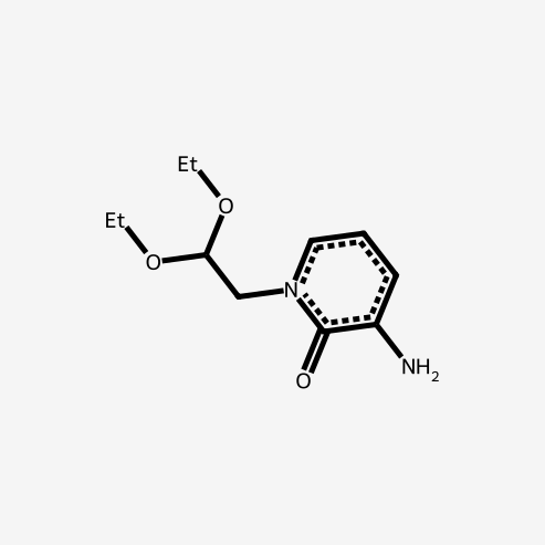 CCOC(Cn1cccc(N)c1=O)OCC